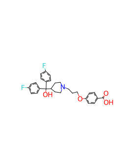 O=C(O)c1ccc(OCCCN2CCC(C(O)(c3ccc(F)cc3)c3ccc(F)cc3)CC2)cc1